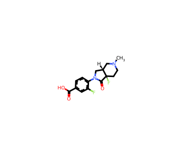 CN1CC[C@]2(F)C(=O)N(c3ccc(C(=O)O)cc3F)C[C@@H]2C1